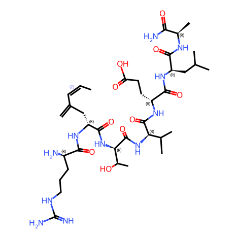 C=C(/C=C\C)C[C@@H](NC(=O)[C@H](N)CCCNC(=N)N)C(=O)N[C@@H](C(=O)N[C@@H](C(=O)N[C@H](CCC(=O)O)C(=O)N[C@H](CC(C)C)C(=O)N[C@H](C)C(N)=O)C(C)C)C(C)O